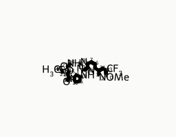 COc1ncc(-c2ccc3ncnc(N[C@H]4CCN(C(=O)[C@H](C[Se]C)OC(N)=O)C4)c3n2)cc1C(F)(F)F